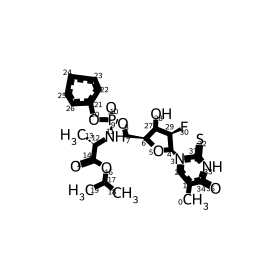 Cc1cn([C@H]2O[C@@H](CO[P@@](=O)(N[C@@H](C)C(=O)OC(C)C)Oc3ccccc3)C(O)[C@H]2F)c(=S)[nH]c1=O